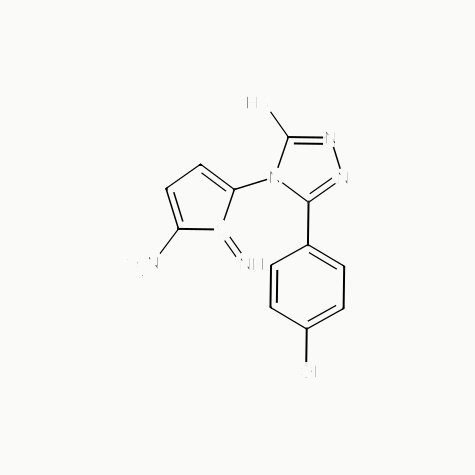 N=S1C(n2c(S)nnc2-c2ccc(O)cc2)=CC=C1[N+](=O)[O-]